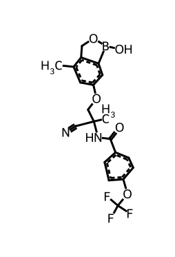 Cc1cc(OCC(C)(C#N)NC(=O)c2ccc(OC(F)(F)F)cc2)cc2c1COB2O